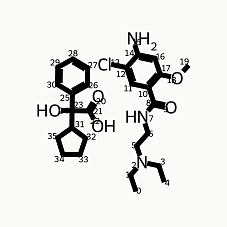 CCN(CC)CCNC(=O)c1cc(Cl)c(N)cc1OC.O=C(O)C(O)(c1ccccc1)C1CCCC1